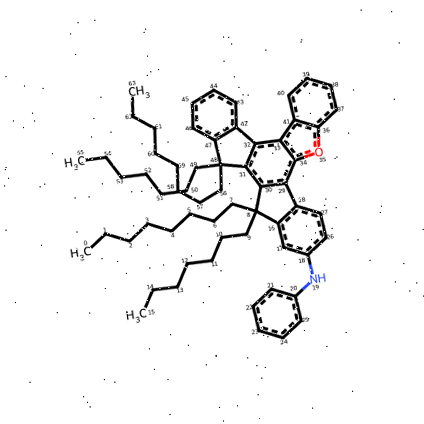 CCCCCCCCC1(CCCCCCC)c2cc(Nc3ccccc3)ccc2-c2c1c1c(c3c2oc2ccccc23)-c2ccccc2C1(CCCCCCC)CCCCCCCC